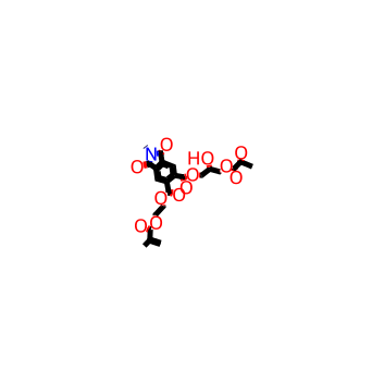 C=C(C)C(=O)OCCOC(=O)c1cc2c(cc1C(=O)OCC(O)COC(=O)C(C)=O)C(=O)N(C)C2=O